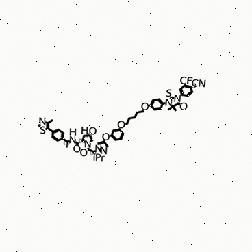 Cc1ncsc1-c1ccc([C@H](C)NC(=O)[C@@H]2C[C@@H](O)CN2C(=O)[C@H](C(C)C)n2cc(Oc3cccc(OCCCCCOc4ccc(N5C(=S)N(c6ccc(C#N)c(C(F)(F)F)c6)C(=O)C5(C)C)cc4)c3)cn2)cc1